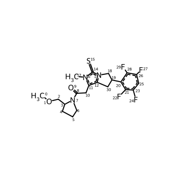 COCC1CCCN1C(=O)Cc1c2n(c(=S)n1C)CC(c1c(F)c(F)cc(F)c1F)C2